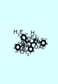 CC(=O)Oc1c(C(c2ccccc2)c2oc3cc(C)ccc3c2NS(=O)(=O)c2ccccc2C)c(C)nn1-c1ccccc1